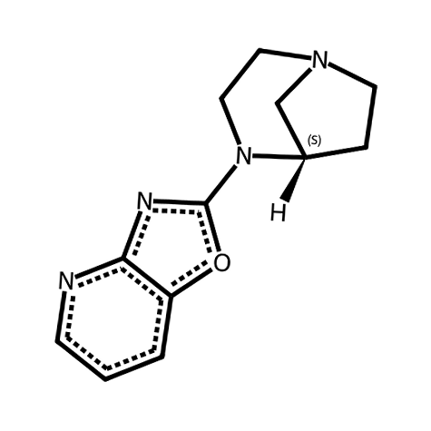 c1cnc2nc(N3CCN4CC[C@H]3C4)oc2c1